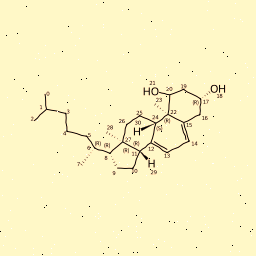 CC(C)CCC[C@@H](C)[C@H]1CC[C@H]2C3=CC=C4C[C@@H](O)CC(O)[C@]4(C)[C@H]3CC[C@]12C